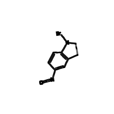 O=Nc1ccc2c(c1)CCN2Br